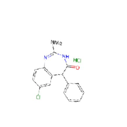 CNC1=Nc2ccc(Cl)cc2C(c2ccccc2)C(=O)N1.Cl